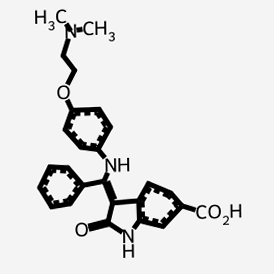 CN(C)CCOc1ccc(NC(=C2C(=O)Nc3cc(C(=O)O)ccc32)c2ccccc2)cc1